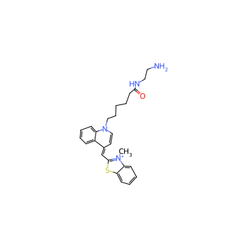 C[n+]1c(C=C2C=CN(CCCCCC(=O)NCCN)c3ccccc32)sc2ccccc21